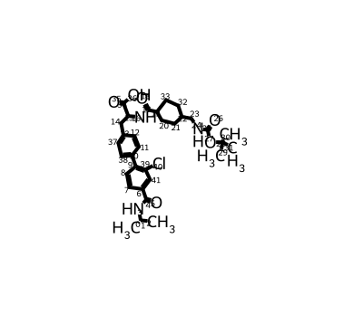 CC(C)NC(=O)c1ccc(-c2ccc(CC(NC(=O)C3CCC(CNC(=O)OC(C)(C)C)CC3)C(=O)O)cc2)c(Cl)c1